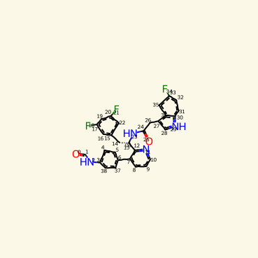 O=CNc1ccc(-c2cccnc2[C@H](Cc2cc(F)cc(F)c2)NC(=O)Cc2c[nH]c3ccc(F)cc23)cc1